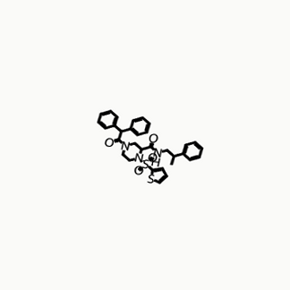 CC(CNC(=O)C1CN(C(=O)C(c2ccccc2)c2ccccc2)CCN1S(=O)(=O)c1cccs1)c1ccccc1